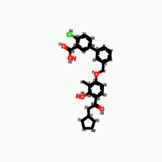 Cc1c(OCc2cccc(-c3ccc(Cl)c(C(=O)O)c3)c2)ccc(C(=O)CC2CCCC2)c1O